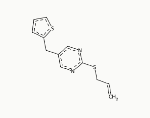 C=CCSc1ncc(Cc2cccs2)cn1